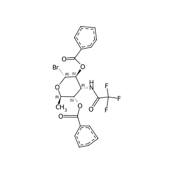 C[C@H]1O[C@H](Br)[C@@H](OC(=O)c2ccccc2)[C@H](NC(=O)C(F)(F)F)[C@@H]1OC(=O)c1ccccc1